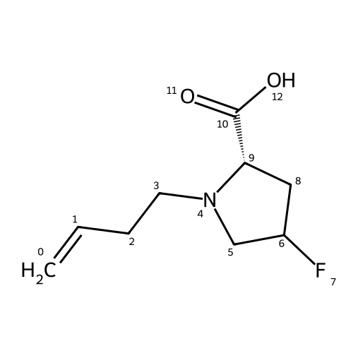 C=CCCN1CC(F)C[C@H]1C(=O)O